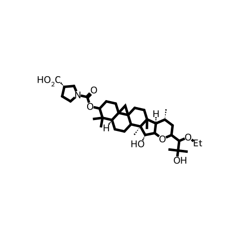 CCOC(C1C[C@@H](C)[C@H]2C(O1)[C@H](O)[C@@]1(C)C3CC[C@H]4C(C)(C)C(OC(=O)N5CC[C@H](C(=O)O)C5)CCC45CC35CCC21C)C(C)(C)O